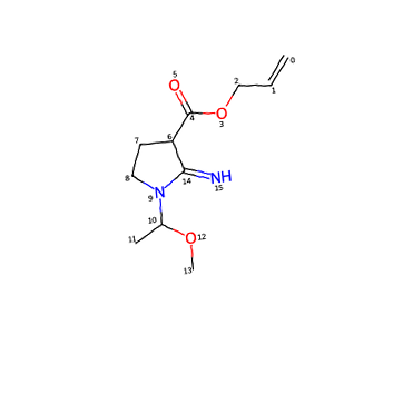 C=CCOC(=O)C1CCN(C(C)OC)C1=N